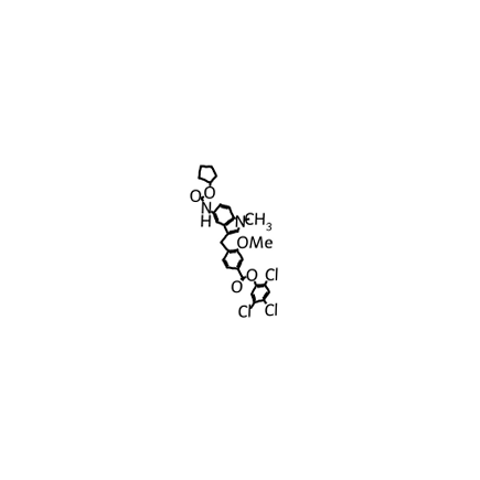 COc1cc(C(=O)Oc2cc(Cl)c(Cl)cc2Cl)ccc1Cc1cn(C)c2ccc(NC(=O)OC3CCCC3)cc12